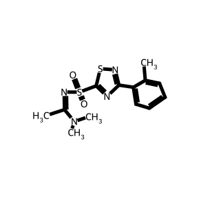 CC(=NS(=O)(=O)c1nc(-c2ccccc2C)ns1)N(C)C